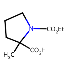 CCOC(=O)N1CCCC1(C)C(=O)O